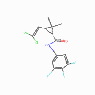 CC1(C)[C@H](C=C(Cl)Cl)[C@H]1C(=O)Nc1cc(F)c(F)c(F)c1